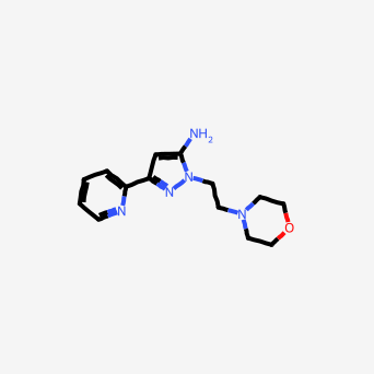 Nc1cc(-c2ccccn2)nn1CCN1CCOCC1